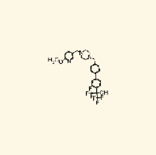 COc1ccc(CN2CCN(Cc3ccc(-c4ccc(C(O)(C(F)(F)F)C(F)(F)F)cc4)cc3)CC2)cn1